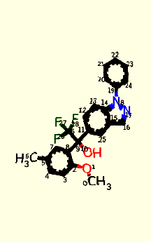 COc1ccc(C)cc1C(O)(c1ccc2c(cnn2-c2ccccc2)c1)C(F)(F)F